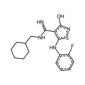 N=C(NCC1CCCCC1)c1c(O)nsc1Nc1ccccc1F